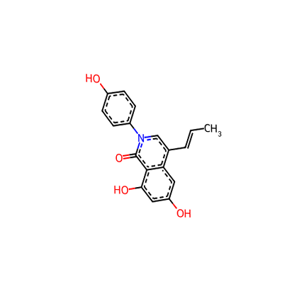 CC=Cc1cn(-c2ccc(O)cc2)c(=O)c2c(O)cc(O)cc12